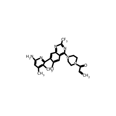 C=CC(=O)N1CCN(c2nc(C(F)(F)F)nc3cc(-c4nc(N)cc(C)c4C(F)(F)F)c(Cl)cc23)CC1